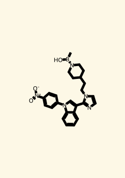 CB(O)N1CCC(CCn2ccnc2-c2cn(-c3ccc([N+](=O)[O-])cc3)c3ccccc23)CC1